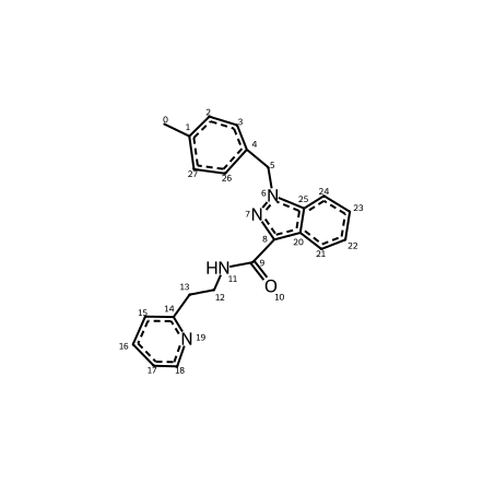 Cc1ccc(Cn2nc(C(=O)NCCc3ccccn3)c3ccccc32)cc1